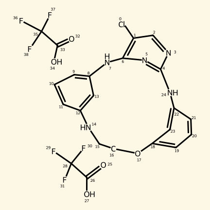 Clc1cnc2nc1Nc1cccc(c1)NCCOc1cccc(c1)N2.O=C(O)C(F)(F)F.O=C(O)C(F)(F)F